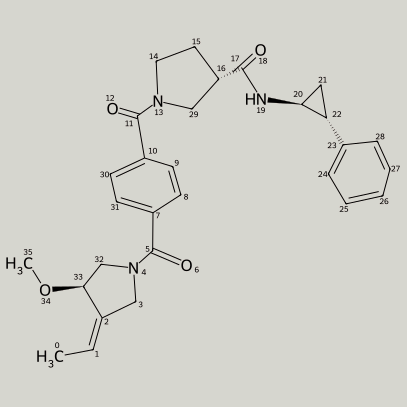 C/C=C1/CN(C(=O)c2ccc(C(=O)N3CC[C@H](C(=O)N[C@H]4C[C@@H]4c4ccccc4)C3)cc2)C[C@@H]1OC